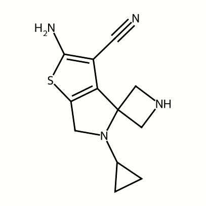 N#Cc1c(N)sc2c1C1(CNC1)N(C1CC1)C2